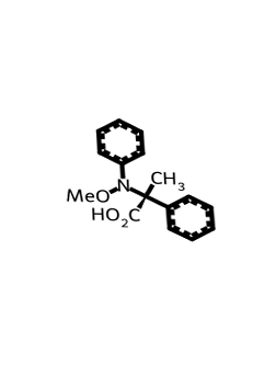 CON(c1ccccc1)[C@@](C)(C(=O)O)c1ccccc1